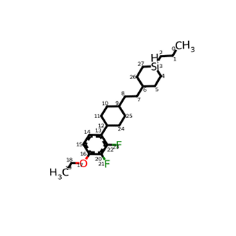 CCC[SiH]1CCC(CCC2CCC(c3ccc(OCC)c(F)c3F)CC2)CC1